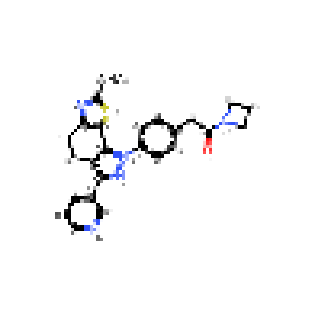 CC(=O)Nc1nc2c(s1)-c1c(c(-c3cccnc3)nn1-c1ccc(CC(=O)N3CCC3)cc1)CC2